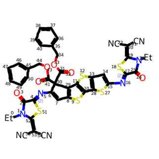 CCN1C(=O)/C(=N/C2=Cc3sc4c(sc5cc(/N=C6\SC(=C(C#N)C#N)N(CC)C6=O)sc54)c3C2(C(=O)OCc2ccccc2)C(=O)OCc2ccccc2)SC1=C(C#N)C#N